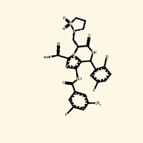 CNC(=O)c1nc(NC(=O)c2cc(F)cc(C(F)(F)F)c2)c2n1C(CN1CCCS1(=O)=O)C(=O)NC2c1cc(F)ccc1Cl